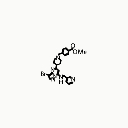 COC(=O)c1ccc(CN2CCC(c3cc(NCc4cccnc4)n4ncc(Br)c4n3)CC2)cc1